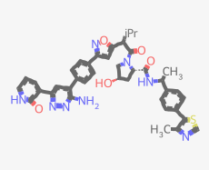 Cc1ncsc1-c1ccc(C(C)NC(=O)[C@@H]2C[C@@H](O)CN2C(=O)C(c2cc(-c3ccc(-c4cc(-c5ccc[nH]c5=O)nnc4N)cc3)no2)C(C)C)cc1